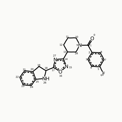 O=C(c1ccc(F)cc1)N1CCCC(c2noc(C3Cc4ccccc4N3)n2)C1